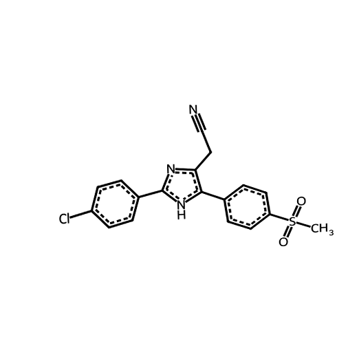 CS(=O)(=O)c1ccc(-c2[nH]c(-c3ccc(Cl)cc3)nc2CC#N)cc1